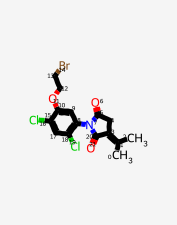 CC(C)=C1CC(=O)N(c2cc(OCCBr)c(Cl)cc2Cl)C1=O